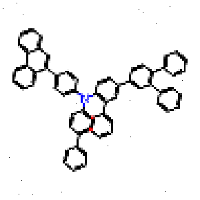 c1ccc(-c2ccc(N(c3ccc(-c4cc5ccccc5c5ccccc45)cc3)c3ccc(-c4ccc(-c5ccccc5)c(-c5ccccc5)c4)cc3-c3ccccc3)cc2)cc1